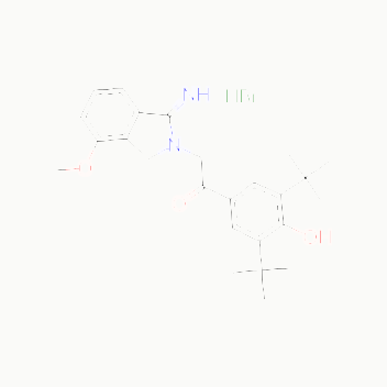 Br.COc1cccc2c1CN(CC(=O)c1cc(C(C)(C)C)c(O)c(C(C)(C)C)c1)C2=N